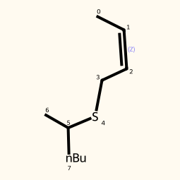 C/C=C\CSC(C)CCCC